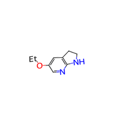 CCOc1cnc2c(c1)CCN2